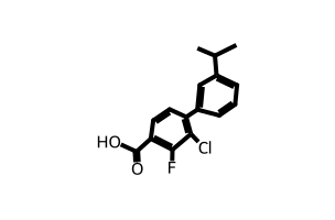 CC(C)c1cccc(-c2ccc(C(=O)O)c(F)c2Cl)c1